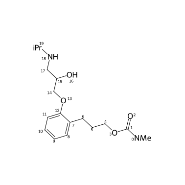 CNC(=O)OCCCc1ccccc1OCC(O)CNC(C)C